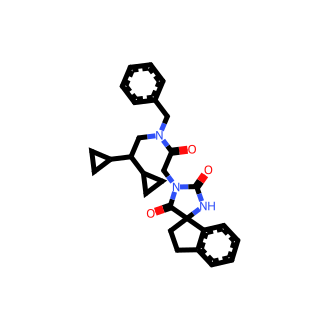 O=C(CN1C(=O)NC2(CCc3ccccc32)C1=O)N(Cc1ccccc1)CC(C1CC1)C1CC1